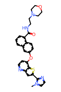 Cn1ccnc1-c1cc2nccc(Oc3ccc4c(C(=O)NCCN5CCOCC5)cccc4c3)c2s1